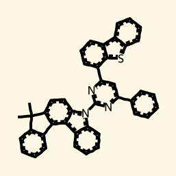 CC1(C)c2ccccc2-c2c1ccc1c2c2ccccc2n1-c1nc(-c2ccccc2)cc(-c2cccc3c2sc2ccccc23)n1